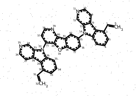 C=Cc1cccc2c1c1ccncc1n2-c1ccc2oc3c(-n4c5cnccc5c5c(C=C)cccc54)ccnc3c2c1